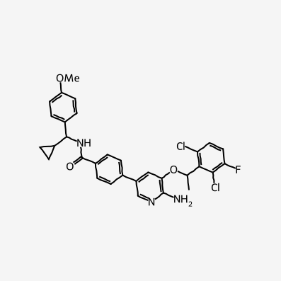 COc1ccc(C(NC(=O)c2ccc(-c3cnc(N)c(OC(C)c4c(Cl)ccc(F)c4Cl)c3)cc2)C2CC2)cc1